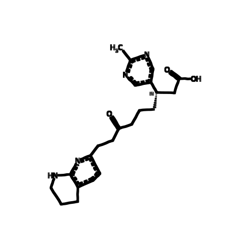 Cc1ncc([C@@H](CCCC(=O)CCc2ccc3c(n2)NCCC3)CC(=O)O)cn1